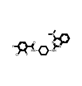 CN(C)c1nc(N[C@H]2CC[C@@H](NC(=O)c3ccc(F)c(Cl)c3F)CC2)nc2ccccc12